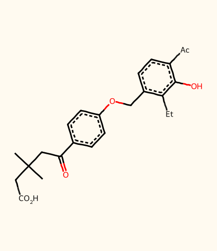 CCc1c(COc2ccc(C(=O)CC(C)(C)CC(=O)O)cc2)ccc(C(C)=O)c1O